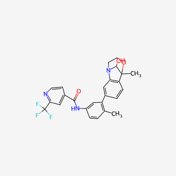 Cc1ccc(NC(=O)c2ccnc(C(F)(F)F)c2)cc1-c1ccc2c(c1)N1CCOC2(C)C1O